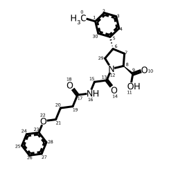 Cc1cccc([C@@H]2C[C@@H](C(=O)O)N(C(=O)CNC(=O)CCCOc3ccccc3)C2)c1